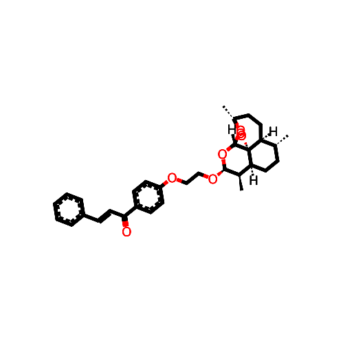 C[C@H]1[C@@H](OCCOc2ccc(C(=O)/C=C/c3ccccc3)cc2)O[C@@H]2O[C@]3(C)CC[C@H]4[C@H](C)CC[C@@H]1[C@@]24OO3